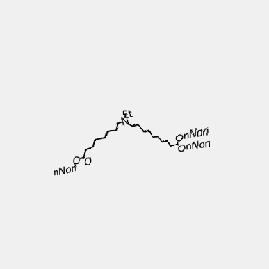 CCCCCCCCCOC(=O)CCCCCCCN(CC)CCCCCCCCCC(OCCCCCCCCC)OCCCCCCCCC